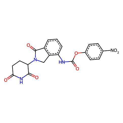 O=C1CCC(N2Cc3c(NC(=O)Oc4ccc([N+](=O)[O-])cc4)cccc3C2=O)C(=O)N1